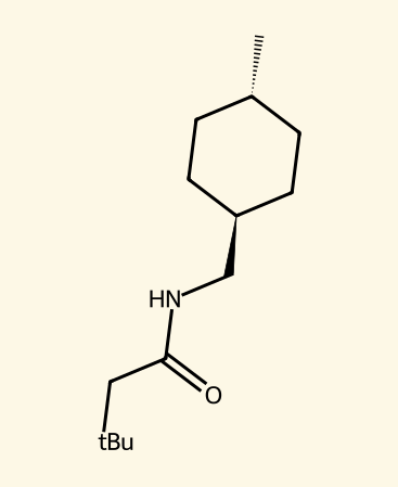 CC(C)(C)CC(=O)NC[C@H]1CC[C@H](C)CC1